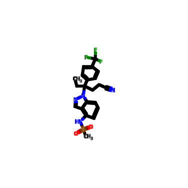 CCC(CCC#N)(c1ccc(C(F)(F)F)cc1)n1ncc2c(NS(C)(=O)=O)cccc21